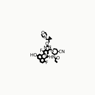 C#Cc1c(F)ccc2cc(O)cc(-c3ncc4c(N5CC[C@@H](C#N)C[C@@H](NC(=O)C=C)C5)nc(OCC5(CN6CCOCC6)CC5)nc4c3F)c12